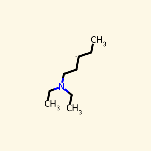 CC[CH]CCN(CC)CC